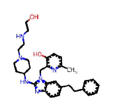 Cc1ccc(O)c(Cn2c(NC3CCN(CCNCCO)CC3)nc3ccc(CCc4ccccc4)cc32)n1